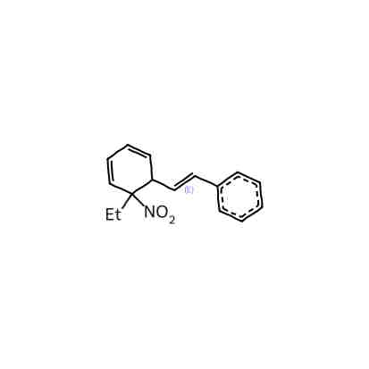 CCC1([N+](=O)[O-])C=CC=CC1/C=C/c1ccccc1